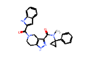 CN(C(=O)c1n[nH]c2c1CN(C(=O)c1cc3ccccc3[nH]1)CC2)C1(c2ccccc2)CC1